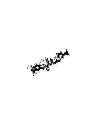 N/C(=C\N(N)Cc1cn2cc(C3CC3)ccc2n1)C(=O)NCc1ccc2[nH]cc(Cl)c2c1